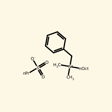 CCCCCCCC[N+](C)(C)Cc1ccccc1.CCCS(=O)(=O)[O-]